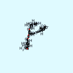 Nc1nsc(N[C@H]2CO[C@H](CNC(=O)CCOCC(COCCC(=O)NC[C@H]3OC[C@H](Nc4nc(N)ns4)[C@@H](O)[C@H]3O)NC(=O)COCCOCCOCCNc3ccc([N+](=O)[O-])cc3[N+](=O)[O-])[C@H](O)[C@@H]2O)n1